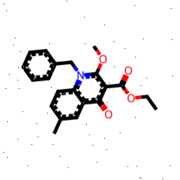 CCOC(=O)c1c(OC)n(Cc2ccccc2)c2ccc(C)cc2c1=O